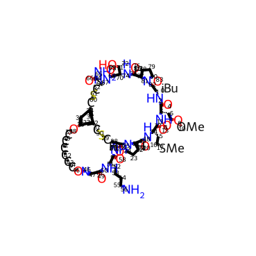 CC[C@H](C)[C@@H]1NC(=O)[C@H](CC(=O)OOC)NC(=O)[C@H](CCSC)NC(=O)[C@@H]2CCCN2C(=O)[C@@H]2CSCc3cc(cc(c3)OCCCCCCO/N=C/C(=O)N[C@@H](CCCCN)C(=O)N2)CSC[C@@H](C(N)=O)NC(=O)[C@H]([C@@H](C)O)NC(=O)[C@@H]2CCCN2C1=O